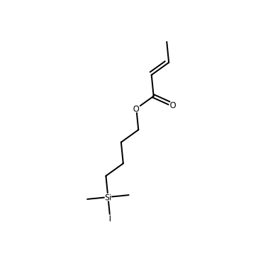 CC=CC(=O)OCCCC[Si](C)(C)I